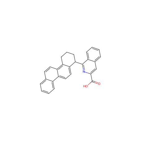 O=C(O)c1cc2ccccc2c(C2CCCc3c2ccc2c3ccc3ccccc32)n1